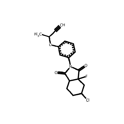 C#CC(C)Oc1cccc(N2C(=O)C3CCC(Cl)CC3(F)C2=O)c1